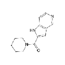 O=C(c1cc2cnccc2[nH]1)N1CCCCC1